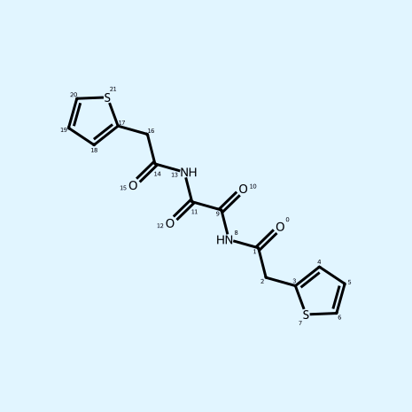 O=C(Cc1cccs1)NC(=O)C(=O)NC(=O)Cc1cccs1